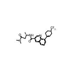 C[C@H](CC(=O)N(C)C)NC(=O)c1cnc2c(C3=CCC(C(F)(F)F)CC3)cccc2c1